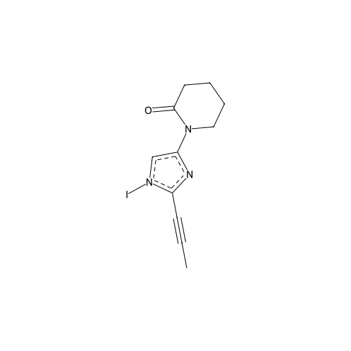 CC#Cc1nc(N2CCCCC2=O)cn1I